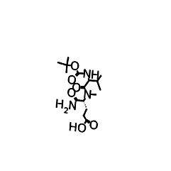 CC(C)[C@H](NC(=O)OC(C)(C)C)C(=O)N(C)[C@H](CCC(=O)O)C(N)=O